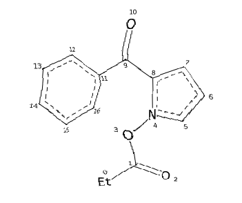 CCC(=O)On1cccc1C(=O)c1ccccc1